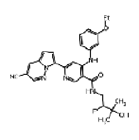 CCOc1cccc(Nc2cc(-c3ccc4cc(C#N)cnn34)ncc2C(=O)NCC(F)C(C)(C)O)c1